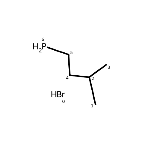 Br.CC(C)CCP